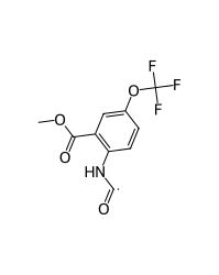 COC(=O)c1cc(OC(F)(F)F)ccc1N[C]=O